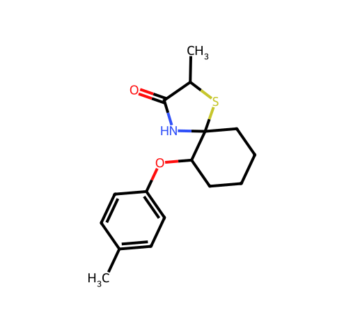 Cc1ccc(OC2CCCCC23NC(=O)C(C)S3)cc1